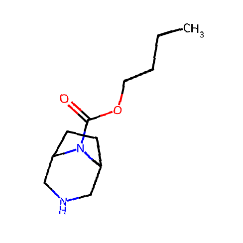 CCCCOC(=O)N1C2CCC1CNC2